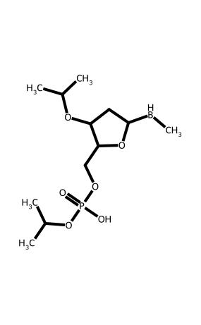 CBC1CC(OC(C)C)C(COP(=O)(O)OC(C)C)O1